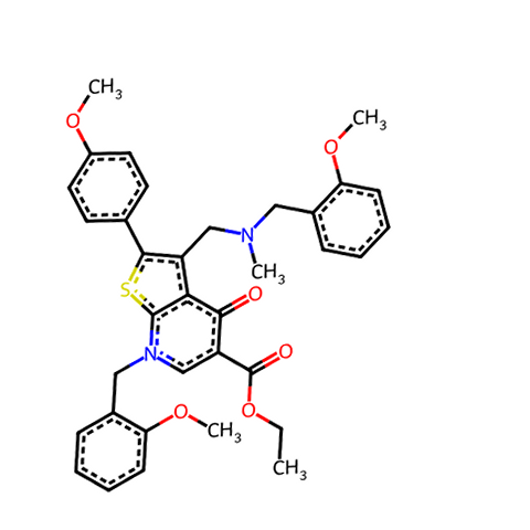 CCOC(=O)c1cn(Cc2ccccc2OC)c2sc(-c3ccc(OC)cc3)c(CN(C)Cc3ccccc3OC)c2c1=O